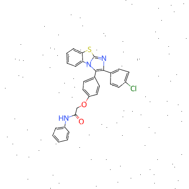 O=C(COc1ccc(-c2c(-c3ccc(Cl)cc3)nc3sc4ccccc4n23)cc1)Nc1ccccc1